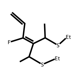 C=CC(F)=C(C(C)SCC)C(C)SCC